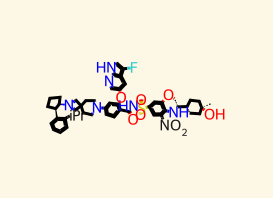 CC(C)c1ccccc1[C@H]1CCC[C@H]1N1CC2(CCN(c3ccc(C(=O)NS(=O)(=O)c4cc5c(c([N+](=O)[O-])c4)N[C@@H]([C@H]4CC[C@](C)(O)CC4)CO5)c(Oc4cnc5[nH]cc(F)c5c4)c3)CC2)C1